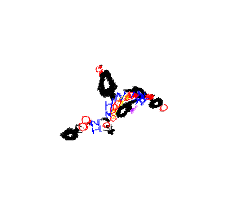 COc1ccc(CN(Cc2ccc(OC)cc2)S(=O)(=O)c2c(S(=O)(=O)N[C@@H](CNC(=O)OCc3ccccc3)CO[Si](C)(C)C(C)(C)C)ccc(I)c2-c2nnn(Cc3ccc(OC)cc3)n2)cc1